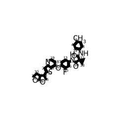 Cc1ccc(NC(=O)C2(C(=O)Nc3ccc(Oc4ccnc5cc(C6COC7OCCC76)sc45)c(F)c3)CC2)cc1